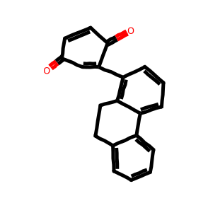 O=C1C=CC(=O)C(c2cccc3c2CCc2ccccc2-3)=C1